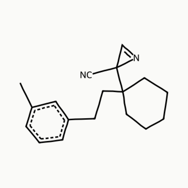 Cc1cccc(CCC2(C3(C#N)C=N3)CCCCC2)c1